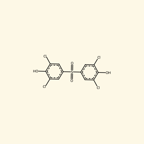 O=S(=O)(c1cc(Cl)c(O)c(Cl)c1)c1cc(Cl)c(O)c(Cl)c1